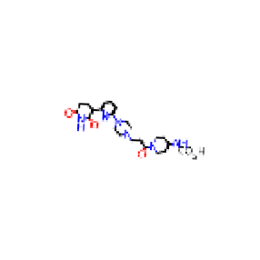 O=C(O)NC1CCN(C(=O)CCN2CCN(c3cccc(C4CCC(=O)NC4=O)n3)CC2)CC1